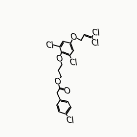 O=C(Cc1ccc(Cl)cc1)OCCCOc1c(Cl)cc(OCC=C(Cl)Cl)cc1Cl